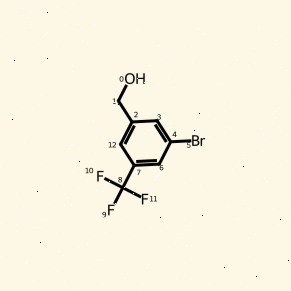 O[CH]c1cc(Br)cc(C(F)(F)F)c1